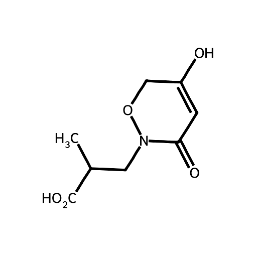 CC(CN1OCC(O)=CC1=O)C(=O)O